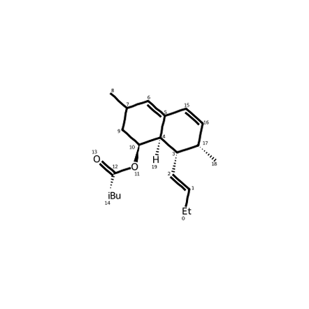 CC/C=C/[C@@H]1[C@@H]2C(=CC(C)C[C@@H]2OC(=O)[C@@H](C)CC)C=C[C@@H]1C